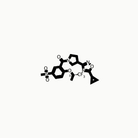 C[C@H](Oc1ccc(S(C)(=O)=O)cc1C(=O)N1CCC(c2noc(C3CC3)n2)C1)C(F)(F)F